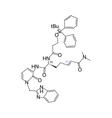 CN(C)C(=O)/C=C/CC[C@H](NC(=O)CCO[Si](c1ccccc1)(c1ccccc1)C(C)(C)C)C(=O)Nc1cccn(Cc2nc3ccccc3[nH]2)c1=O